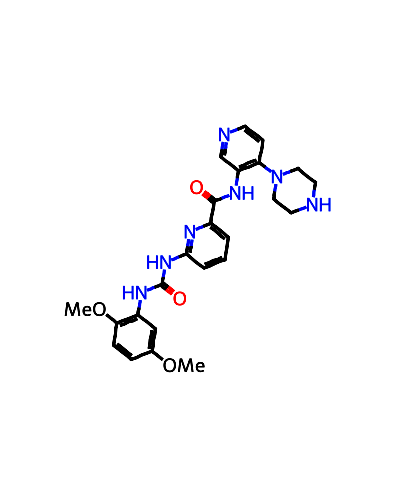 COc1ccc(OC)c(NC(=O)Nc2cccc(C(=O)Nc3cnccc3N3CCNCC3)n2)c1